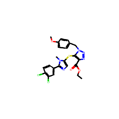 CCOC(=O)c1nnn(Cc2ccc(OC)cc2)c1Sc1cnc(-c2ccc(Cl)c(Cl)c2)n1C